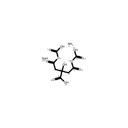 N.O=C(O)OC(=O)CC(O)(CC(=O)OC(=O)O)C(=O)O.[NaH]